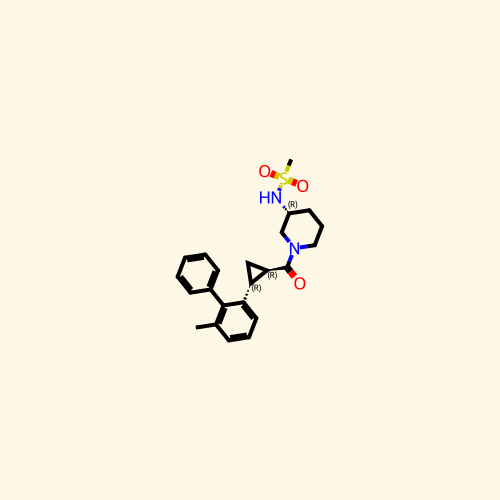 Cc1cccc([C@@H]2C[C@H]2C(=O)N2CCC[C@@H](NS(C)(=O)=O)C2)c1-c1ccccc1